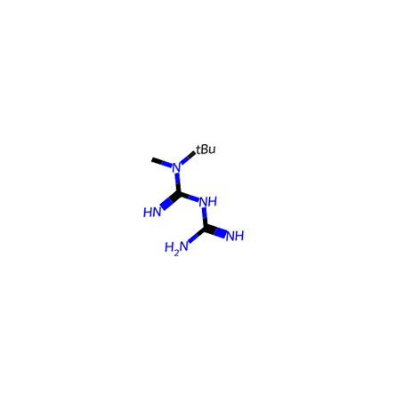 CN(C(=N)NC(=N)N)C(C)(C)C